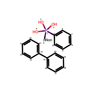 CCCCCCCCCP(O)(O)(O)c1ccccc1.c1ccc(-c2ccccc2)cc1